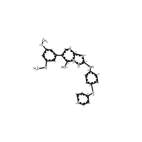 COc1cc(OC)cc(-c2cnc3nc(Nc4ccc(Oc5ccncc5)cc4)nn3c2O)c1